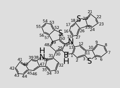 B1c2cc3sc4ccccc4c3cc2N(c2ccc3sc4ccccc4c3c2)c2c1c(-c1cccc3c1[nH]c1cc4ccccc4cc13)cc1c2sc2ccccc21